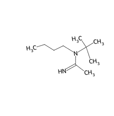 CCCCN(C(C)=N)C(C)(C)C